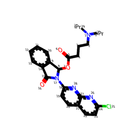 CC(C)N(CCCC(=O)OC1c2ccccc2C(=O)N1c1ccc2ccc(Cl)nc2n1)C(C)C